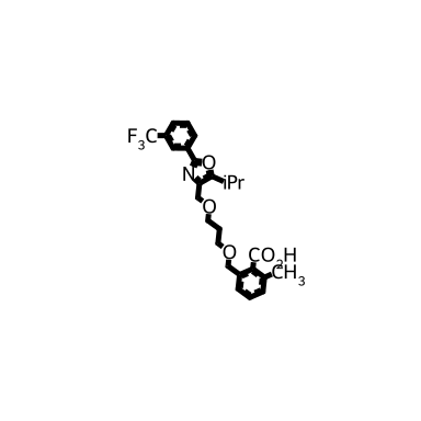 Cc1cccc(COCCCOCc2nc(-c3cccc(C(F)(F)F)c3)oc2C(C)C)c1C(=O)O